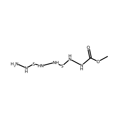 COC(=O)NNSNNSNN